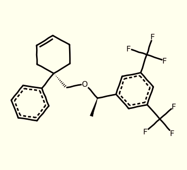 C[C@@H](OC[C@]1(c2ccccc2)CC=CCC1)c1cc(C(F)(F)F)cc(C(F)(F)F)c1